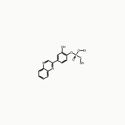 CCCSP(=O)(OCC)Oc1ccc(-c2cnc3ccccc3n2)cc1O